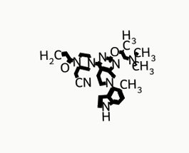 C=CC(=O)N1CCN(c2nc(O[C@H](C)CN(C)C)nc3c2CCN(c2c(C)ccc4[nH]ccc24)C3)CC1CC#N